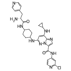 N[C@H](Cc1ccncc1)C(=O)NC1CCC(Nc2cc(NC3CC3)c3ncc(C(=O)Nc4ccnc(Cl)c4)n3n2)CC1